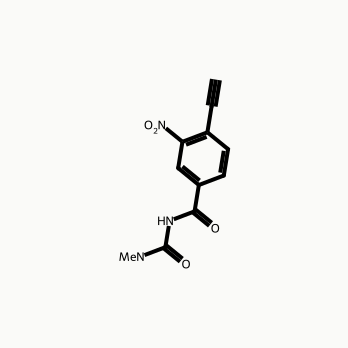 C#Cc1ccc(C(=O)NC(=O)NC)cc1[N+](=O)[O-]